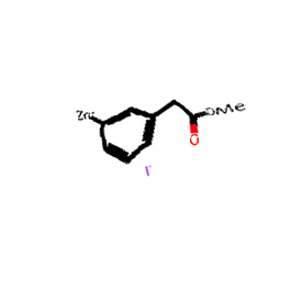 COC(=O)Cc1ccc[c]([Zn+])c1.[I-]